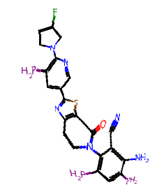 N#Cc1c(N)c(P)cc(P)c1N1CCc2nc(-c3cnc(N4CCC(F)C4)c(P)c3)sc2C1=O